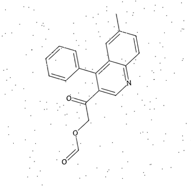 Cc1ccc2ncc(C(=O)COC=O)c(-c3ccccc3)c2c1